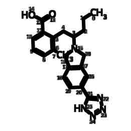 CCCC(Cc1c(C)cccc1C(=O)O)N1Cc2ccc(-c3nnn[nH]3)cc2C1